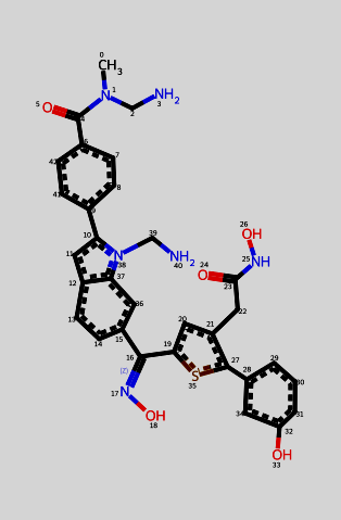 CN(CN)C(=O)c1ccc(-c2cc3ccc(/C(=N/O)c4cc(CC(=O)NO)c(-c5cccc(O)c5)s4)cc3n2CN)cc1